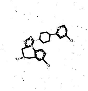 CN1Cc2cc(Cl)ccc2-n2c(nnc2[C@H]2CC[C@H](c3cc(Cl)ccn3)CC2)C1